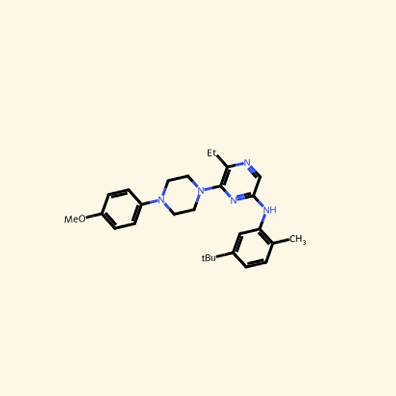 CCc1ncc(Nc2cc(C(C)(C)C)ccc2C)nc1N1CCN(c2ccc(OC)cc2)CC1